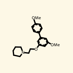 COc1ccc(-c2[c]c(OCCN3CCCCC3)cc(OC)c2)cc1